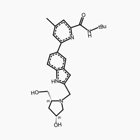 Cc1cc(C(=O)NC(C)(C)C)nc(-c2ccc3[nH]c(CN4C[C@H](O)C[C@@H]4CO)cc3c2)c1